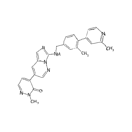 Cc1cc(-c2ccc(CNc3ncc4cc(-c5ccnn(C)c5=O)cnn34)cc2C)ccn1